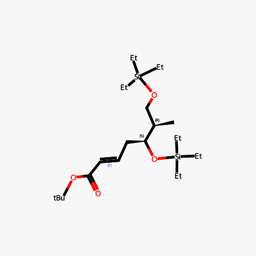 CC[Si](CC)(CC)OC[C@@H](C)[C@H](C/C=C/C(=O)OC(C)(C)C)O[Si](CC)(CC)CC